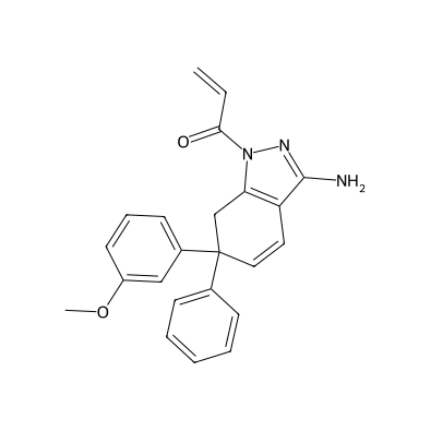 C=CC(=O)n1nc(N)c2c1CC(c1ccccc1)(c1cccc(OC)c1)C=C2